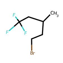 CC(CCBr)CC(F)(F)F